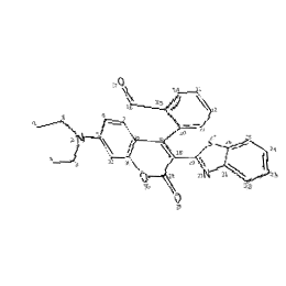 CCN(CC)c1ccc2c(-c3ccccc3C=O)c(-c3nc4ccccc4s3)c(=O)oc2c1